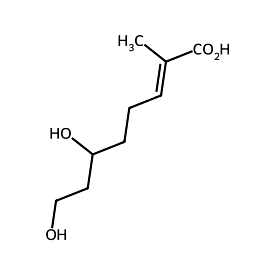 CC(=CCCC(O)CCO)C(=O)O